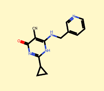 N#Cc1c(NCc2cccnc2)[nH]c(C2CC2)nc1=O